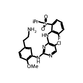 COc1ccc(CCN)cc1Nc1ncc(Cl)c(Nc2c(F)cccc2S(=O)(=O)C(C)C)n1